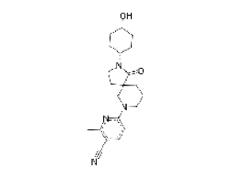 Cc1nc(N2CCCC3(CCN([C@H]4CC[C@@H](O)CC4)C3=O)C2)ccc1C#N